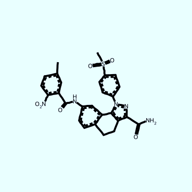 Cc1ccc([N+](=O)[O-])c(C(=O)Nc2ccc3c(c2)-c2c(c(C(N)=O)nn2-c2ccc(S(C)(=O)=O)cc2)CC3)c1